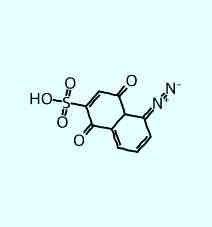 [N-]=[N+]=C1C=CC=C2C(=O)C(S(=O)(=O)O)=CC(=O)C21